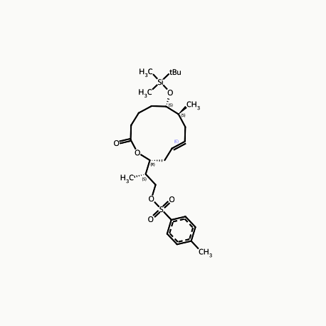 Cc1ccc(S(=O)(=O)OC[C@H](C)[C@H]2C/C=C/C[C@H](C)[C@@H](O[Si](C)(C)C(C)(C)C)CCCC(=O)O2)cc1